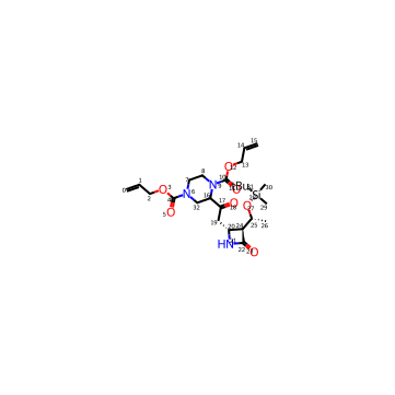 C=CCOC(=O)N1CCN(C(=O)OCC=C)C(C(=O)C[C@H]2NC(=O)[C@@H]2[C@@H](C)O[Si](C)(C)C(C)(C)C)C1